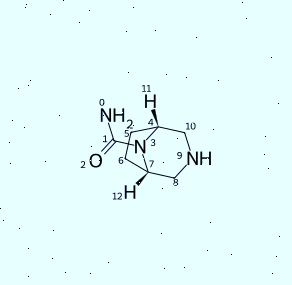 NC(=O)N1[C@@H]2CC[C@H]1CNC2